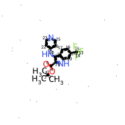 CC(C)(C)OC(=O)c1[nH]c2cc(C(F)(F)F)ccc2c1Nc1ccncc1